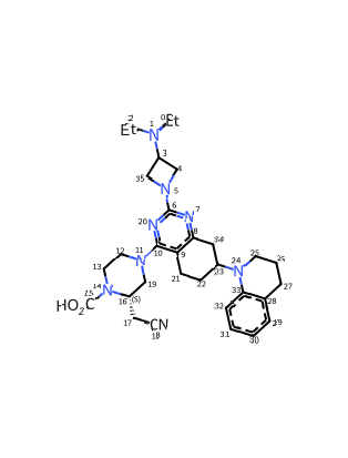 CCN(CC)C1CN(c2nc3c(c(N4CCN(C(=O)O)[C@@H](CC#N)C4)n2)CCC(N2CCCc4ccccc42)C3)C1